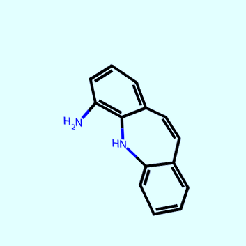 Nc1cccc2c1Nc1ccccc1C=C2